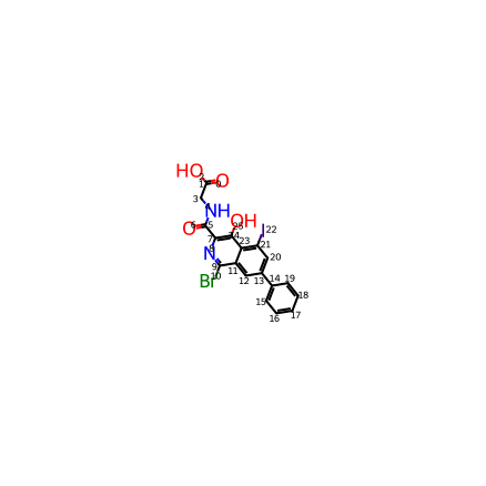 O=C(O)CNC(=O)c1nc(Br)c2cc(-c3ccccc3)cc(I)c2c1O